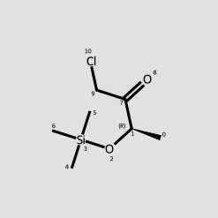 C[C@@H](O[Si](C)(C)C)C(=O)CCl